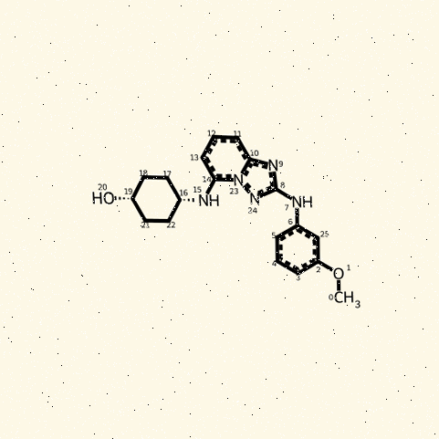 COc1cccc(Nc2nc3cccc(N[C@H]4CC[C@@H](O)CC4)n3n2)c1